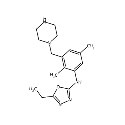 CCc1nnc(Nc2cc(C)cc(CN3CCNCC3)c2C)o1